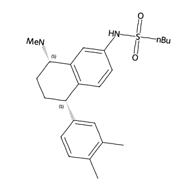 CCCCS(=O)(=O)Nc1ccc2c(c1)[C@@H](NC)CC[C@H]2c1ccc(C)c(C)c1